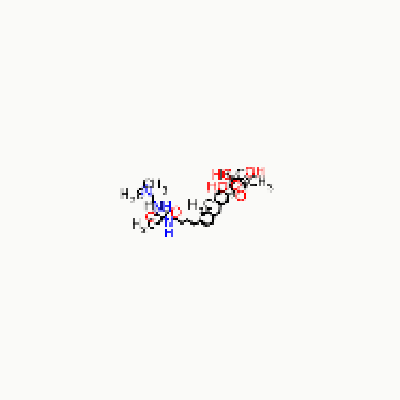 CCC(CC)(NC(=O)CCCc1ccc(Cc2cc([C@@]34OC[C@@](C(C)(C)O)(C[C@H](O)[C@H]3O)O4)ccc2C)cc1)C(=O)NCCN(C)C